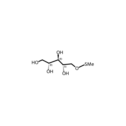 CSOC[C@H](O)[C@H](O)[C@H](O)CO